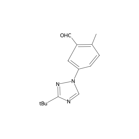 Cc1ccc(-n2cnc(C(C)(C)C)n2)cc1C=O